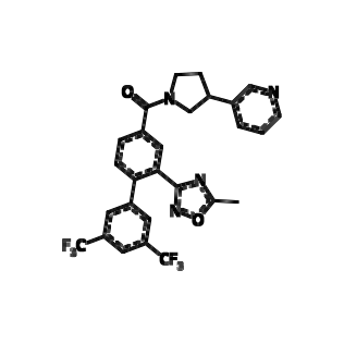 Cc1nc(-c2cc(C(=O)N3CCC(c4cccnc4)C3)ccc2-c2cc(C(F)(F)F)cc(C(F)(F)F)c2)no1